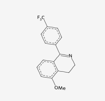 COc1cccc2c1CCN=C2c1ccc(C(F)(F)F)cc1